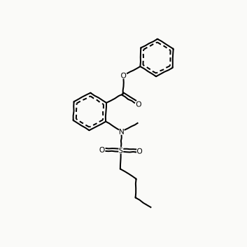 CCCCS(=O)(=O)N(C)c1ccccc1C(=O)Oc1ccccc1